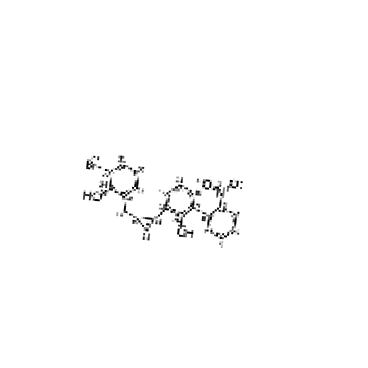 O=[N+]([O-])c1ccccc1-c1cccc(C2=CC2Cc2cccc(Br)c2O)c1O